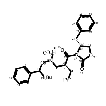 CC(C)C[C@@H](CN(OC(c1ccccc1)C(C)(C)C)C(=O)O)C(=O)N1C(=O)OC[C@H]1Cc1ccccc1